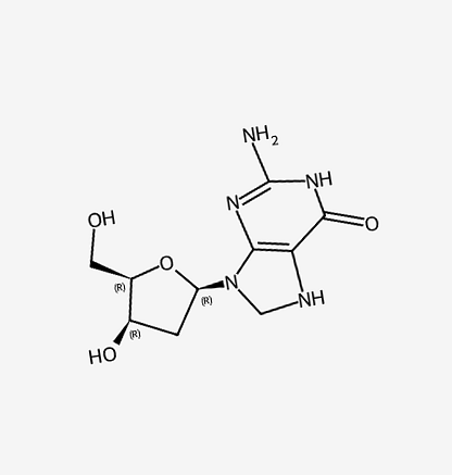 Nc1nc2c(c(=O)[nH]1)NCN2[C@H]1C[C@@H](O)[C@@H](CO)O1